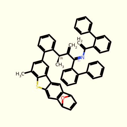 C=C(/N=C(\C(=C)[C@@H](C)c1ccccc1-c1cc(C)c2sc3cc4c(cc3c2c1)C1C=CC4O1)c1ccccc1-c1ccccc1)c1ccccc1-c1ccccc1